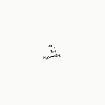 C[SiH3].[AlH3].[NaH]